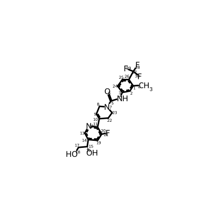 Cc1cc(NC(=O)N2CC=C(c3ncc([C@H](O)CO)cc3F)CC2)ccc1C(F)(F)F